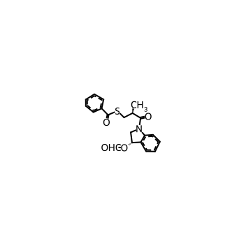 C[C@H](CSC(=O)c1ccccc1)C(=O)N1C[C@@H](OC=O)c2ccccc21